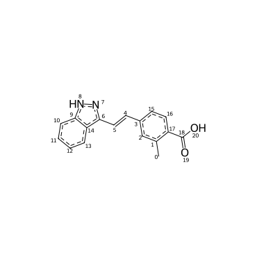 Cc1cc(/C=C/c2n[nH]c3ccccc23)ccc1C(=O)O